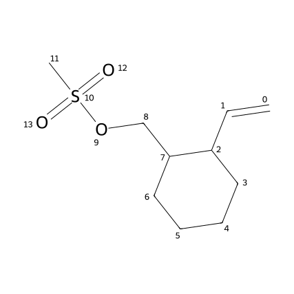 C=CC1CCCCC1COS(C)(=O)=O